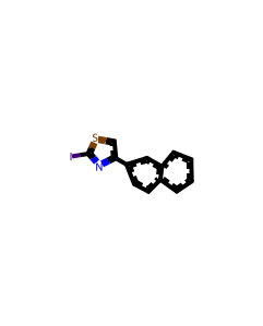 Ic1nc(-c2ccc3ccccc3c2)cs1